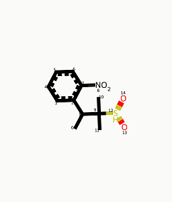 CC(c1ccccc1[N+](=O)[O-])C(C)(C)[SH](=O)=O